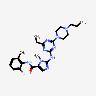 CCCN1CCN(c2nc(CC)nc(Nc3ncc(C(=O)Nc4c(C)cccc4Cl)n3C)n2)CC1